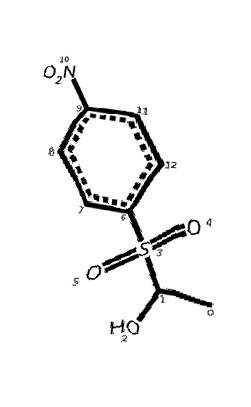 CC(O)S(=O)(=O)c1ccc([N+](=O)[O-])cc1